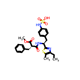 CCc1nc([C@H](Cc2ccc(NS(=O)(=O)O)cc2)NC(=O)[C@H](Cc2ccccc2)C(=O)OC)sc1C